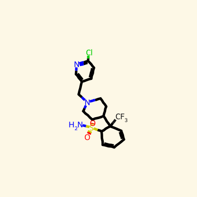 NS(=O)(=O)C1C=CC=CC1(C1CCN(Cc2ccc(Cl)nc2)CC1)C(F)(F)F